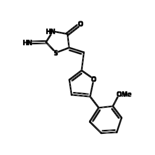 COc1ccccc1-c1ccc(/C=C2\SC(=N)NC2=O)o1